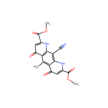 COC(=O)c1cc(=O)c2c(C)c3c(=O)cc(C(=O)OC)[nH]c3c(C#N)c2[nH]1